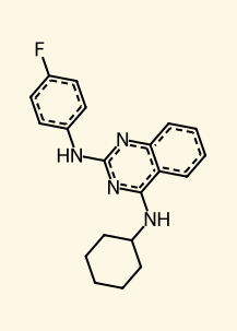 Fc1ccc(Nc2nc(NC3CCCCC3)c3ccccc3n2)cc1